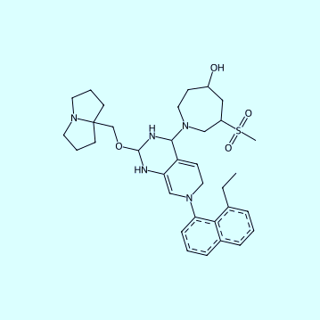 CCc1cccc2cccc(N3C=C4NC(OCC56CCCN5CCC6)NC(N5CCC(O)CC(S(C)(=O)=O)C5)C4=CC3)c12